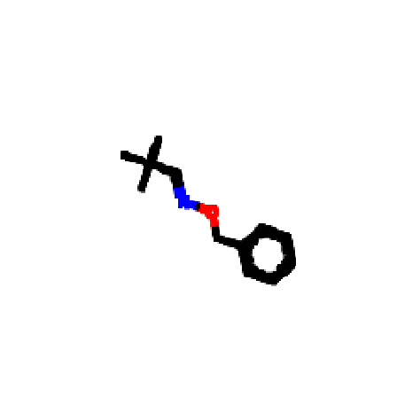 CC(C)(C)C=NOCc1ccccc1